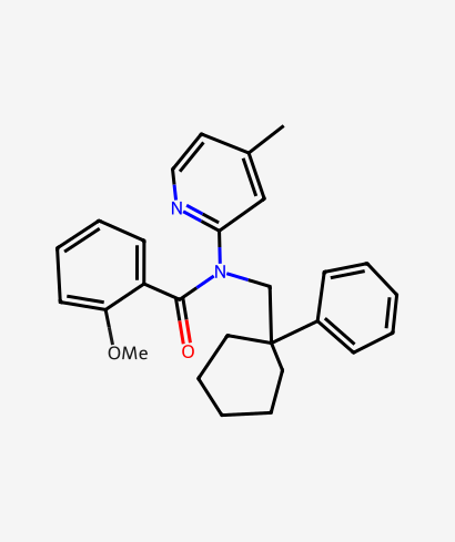 COc1ccccc1C(=O)N(CC1(c2ccccc2)CCCCC1)c1cc(C)ccn1